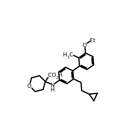 CCOc1cccc(-c2ccc(NC3(C(=O)O)CCOCC3)cc2CCC2CC2)c1C